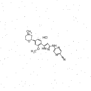 COc1cc([C@@H]2CN(C)CCO2)ccc1-c1cc(Nc2cnc(C#N)cn2)n[nH]1.Cl